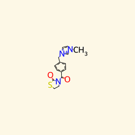 Cn1cc[n+](Cc2ccc(C(=O)N3CCSC3=O)cc2)c1